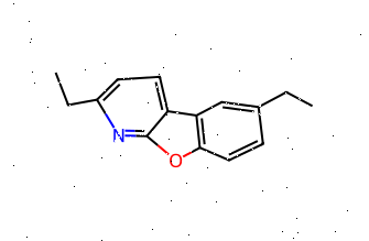 CCc1ccc2oc3nc(CC)ccc3c2c1